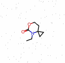 CCN1C(=O)OCCC12CC2